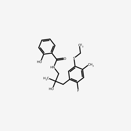 Cc1cc(F)c(CC(C)(O)CNC(=O)c2ccccc2O)cc1SCC(F)(F)F